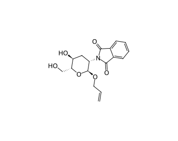 C=CCO[C@H]1O[C@H](CO)[C@@H](O)C[C@@H]1N1C(=O)c2ccccc2C1=O